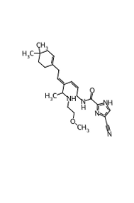 COCCNC(C)C(/C=C\CNC(=O)c1nc(C#N)c[nH]1)=C/CC1=CCC(C)(C)CC1